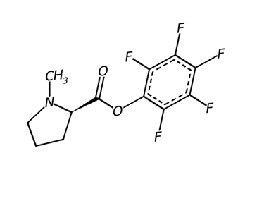 CN1CCC[C@@H]1C(=O)Oc1c(F)c(F)c(F)c(F)c1F